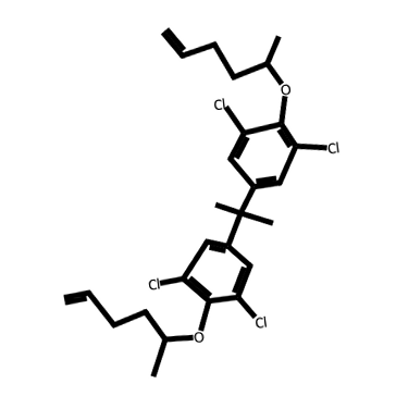 C=CCCC(C)Oc1c(Cl)cc(C(C)(C)c2cc(Cl)c(OC(C)CCC=C)c(Cl)c2)cc1Cl